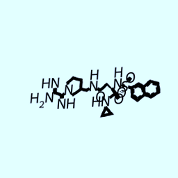 N=C(N)C(=N)N1CCCC(CNC(=O)C[C@@H](NS(=O)(=O)c2ccc3ccccc3c2)C(=O)NC2CC2)C1